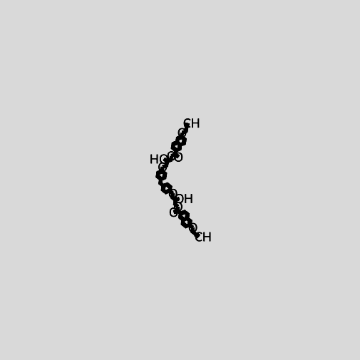 C#CCOc1ccc2cc(C(=O)OCC(O)COc3ccc(Cc4ccc(OCC(O)COC(=O)c5ccc6cc(OCC#C)ccc6c5)cc4)cc3)ccc2c1